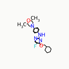 C[C@@H]1CN(c2ccc(Nc3ncc(F)c(OCC4CCCCC4)n3)cc2)C[C@H](C)O1